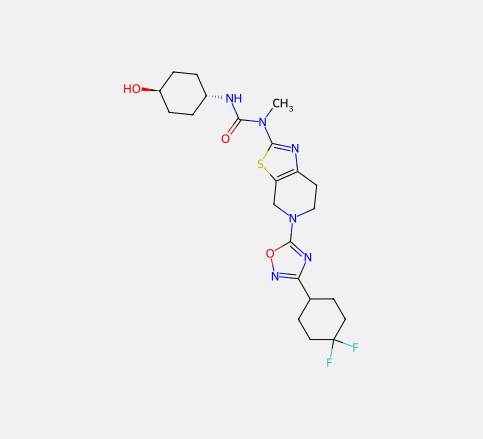 CN(C(=O)N[C@H]1CC[C@H](O)CC1)c1nc2c(s1)CN(c1nc(C3CCC(F)(F)CC3)no1)CC2